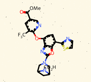 COC(=O)c1cnc(Oc2ccc(-c3nccs3)c3oc(N4CC5CC(C4)N5C(=O)O)nc23)c(C(F)(F)F)c1